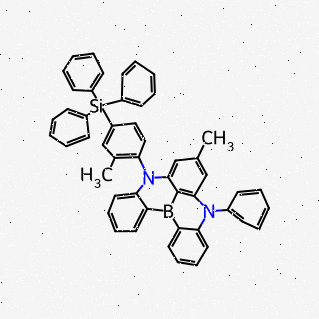 Cc1cc2c3c(c1)N(c1ccc([Si](c4ccccc4)(c4ccccc4)c4ccccc4)cc1C)c1ccccc1B3c1ccccc1N2c1ccccc1